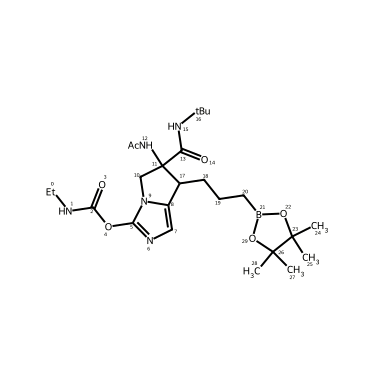 CCNC(=O)Oc1ncc2n1CC(NC(C)=O)(C(=O)NC(C)(C)C)C2CCCB1OC(C)(C)C(C)(C)O1